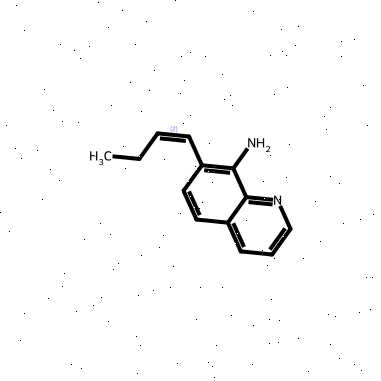 CC/C=C\c1ccc2cccnc2c1N